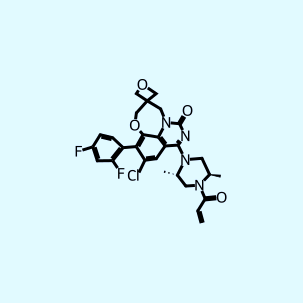 C=CC(=O)N1C[C@H](C)N(c2nc(=O)n3c4c(c(-c5ccc(F)cc5F)c(Cl)cc24)OCC2(COC2)C3)C[C@H]1C